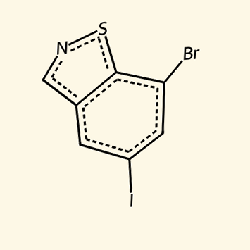 Brc1cc(I)cc2cnsc12